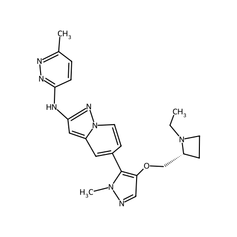 CCN1CC[C@@H]1COc1cnn(C)c1-c1ccn2nc(Nc3ccc(C)nn3)cc2c1